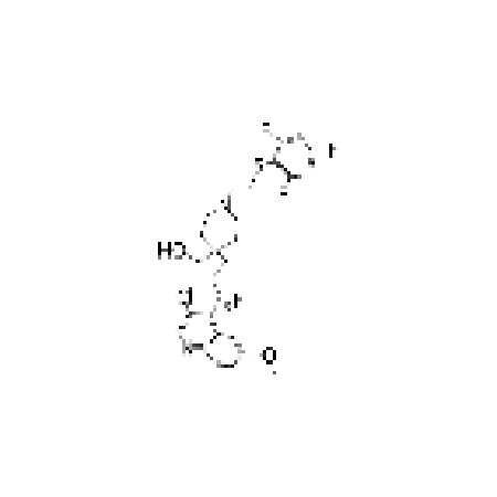 COc1ccc2ncc(Cl)c([C@@H](F)CCC3(CO)CCN(CCSc4c(F)cc(F)cc4F)CC3)c2c1